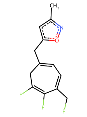 Cc1cc(CC2=CC=C(CF)C(F)=C(F)C2)on1